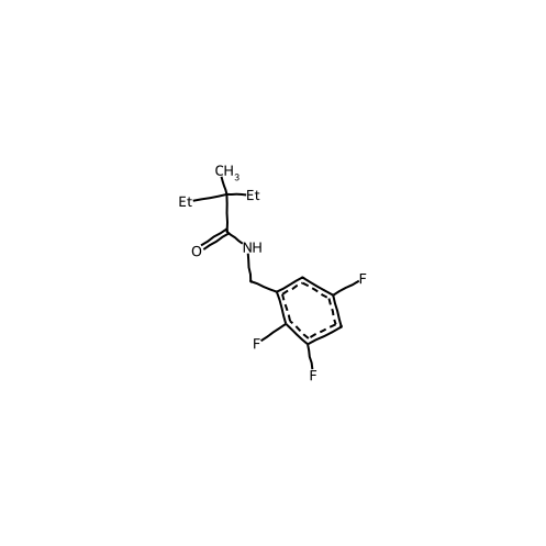 CCC(C)(CC)C(=O)NCc1cc(F)cc(F)c1F